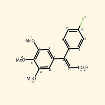 COc1cc(/C(=C/C(=O)O)c2ccc(F)cc2)cc(OC)c1OC